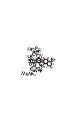 CN[C@@H](C)C(=O)N[C@@H]1C(=O)N(Cc2c(OC)ccc3c(Br)cccc23)c2ccc(C#N)cc2N(C(=O)CS(C)(=O)=O)[C@H]1C.O=C(O)C(F)(F)F